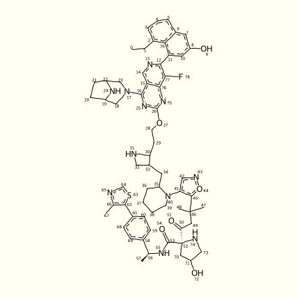 CCc1cccc2cc(O)cc(-c3ncc4c(N5CC6CCC(C5)N6)nc(OCCC5NCC5CC5CCCCN5c5cnoc5C(C)(C)CC(=O)[C@@]5(C(=O)N[C@@H](C)c6ccc(-c7scnc7C)cc6)CC(O)CN5)nc4c3F)c12